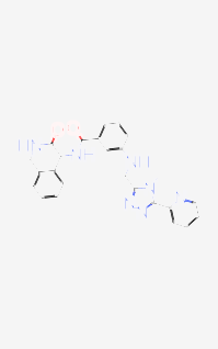 Cn1c(CNc2cccc(C(=O)NC3C(=O)NCc4ccccc43)c2)nnc1-c1ccccn1